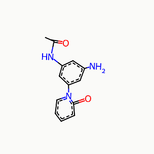 CC(=O)Nc1cc(N)cc(-n2ccccc2=O)c1